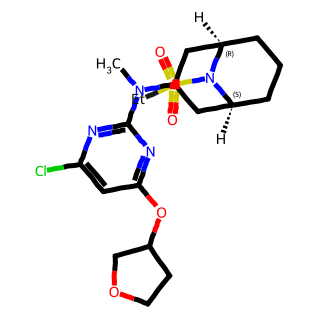 CCS(=O)(=O)N1[C@@H]2CCC[C@H]1CC(N(C)c1nc(Cl)cc(OC3CCOC3)n1)C2